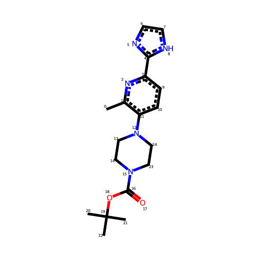 Cc1nc(-c2ncc[nH]2)ccc1N1CCN(C(=O)OC(C)(C)C)CC1